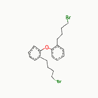 BrCCCCc1ccccc1Oc1ccccc1CCCCBr